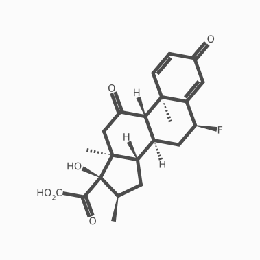 C[C@@H]1C[C@H]2[C@@H]3C[C@H](F)C4=CC(=O)C=C[C@]4(C)[C@H]3C(=O)C[C@]2(C)[C@@]1(O)C(=O)C(=O)O